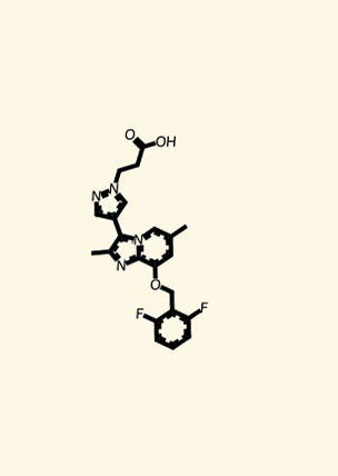 Cc1cc(OCc2c(F)cccc2F)c2nc(C)c(-c3cnn(CCC(=O)O)c3)n2c1